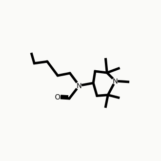 CCCCCN(C=O)C1CC(C)(C)N(C)C(C)(C)C1